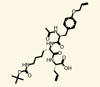 C=CCOc1ccc(C[C@H](NC(C)=O)C(=O)N[C@@H](CCCCNC(=O)OC(C)(C)C)C(=O)N[C@@H](CC=C)C(=O)O)cc1